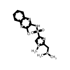 CN(C)Cc1nc(S(=O)(=O)Nc2nc3ccccc3nc2Cl)cn1C